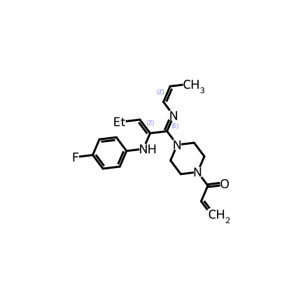 C=CC(=O)N1CCN(C(=N/C=C\C)/C(=C/CC)Nc2ccc(F)cc2)CC1